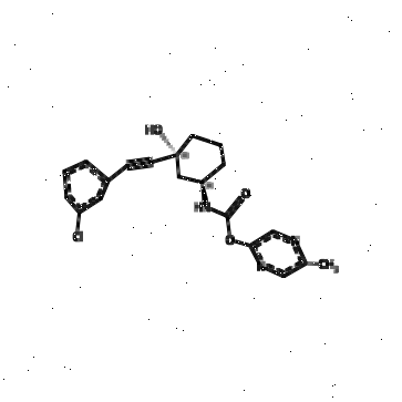 Cc1cnc(OC(=O)N[C@@H]2CCC[C@](O)(C#Cc3cccc(Cl)c3)C2)cn1